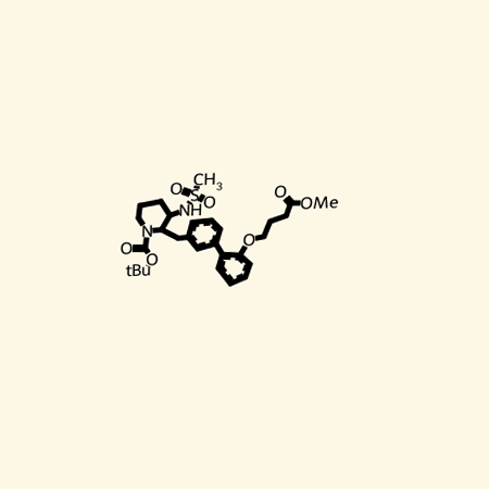 COC(=O)CCCOc1ccccc1-c1cccc(CC2C(NS(C)(=O)=O)CCCN2C(=O)OC(C)(C)C)c1